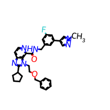 Cn1cc(-c2cc(F)cc(CNC(=O)c3nccc4nc(C5CCCC5)n(CCOCc5ccccc5)c34)c2)cn1